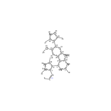 C/C=C\c1c(-c2nc(C)nc3[nH]c4cc(-c5c(C)noc5C)c(OC)cc4c23)c(C)nn1C